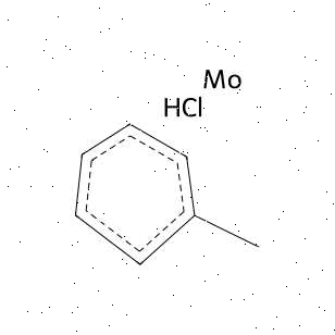 Cc1ccccc1.Cl.[Mo]